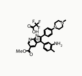 COC(=O)c1cnc2[nH]c(-c3ccc(N4CCN(C)CC4)cc3)c(-c3ccc(C)c(N)c3)c2c1.O=C(O)C(F)(F)F